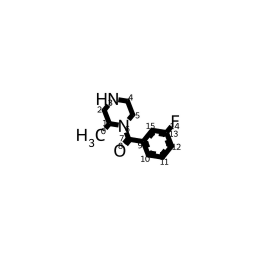 CC1CNCCN1C(=O)c1cccc(F)c1